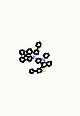 c1ccc(-c2ccc(N(c3ccc4c(c3)C(c3ccccc3)(c3ccccc3)c3ccccc3-4)c3ccc4c5c6c7cc(-c8ccccc8)ccc7sc6c6ccccc6c5n(-c5ccccc5)c4c3)cc2)cc1